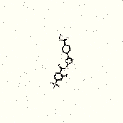 CC(C)(C)OC(=O)N1CCC(c2cnc(NC(=O)c3ncc(S(C)(=O)=O)cc3F)s2)CC1